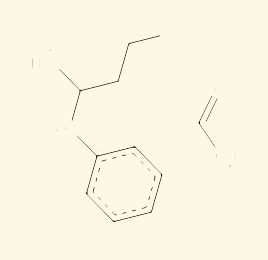 CCCC(C)Oc1ccccc1.O=CO